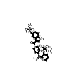 CCC(C)(C)Nc1cccnc1N(C)C1CCN(C(=O)c2c[nH]c3ccc(NS(C)(=O)=O)cc23)CC1